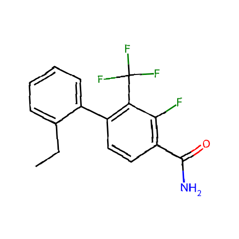 CCc1ccccc1-c1ccc(C(N)=O)c(F)c1C(F)(F)F